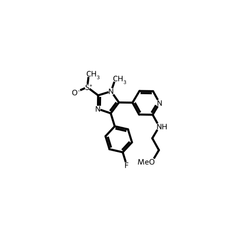 COCCNc1cc(-c2c(-c3ccc(F)cc3)nc([S+](C)[O-])n2C)ccn1